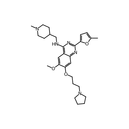 COc1cc2c(NCC3CCN(C)CC3)nc(-c3ccc(C)o3)nc2cc1OCCCN1CCCC1